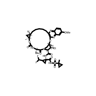 CC[C@@H]1[C@@H]2CN(C(=O)[C@H](C(C)(C)C)NC(=O)O[C@@]3(C)C[C@@H]3CCCCCc3nc4ccc(OC)cc4nc3O2)[C@@H]1C(=O)N[C@]1(C(=O)NS(=O)(=O)C2(C)CC2)CC1C(F)F